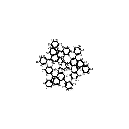 C(=C(c1ccccc1)c1ccccc1)c1nc2n(c1C=C(c1ccccc1)c1ccccc1)c1nc(C=C(c3ccccc3)c3ccccc3)c(C=C(c3ccccc3)c3ccccc3)n1c1nc(C=C(c3ccccc3)c3ccccc3)c(C=C(c3ccccc3)c3ccccc3)n21